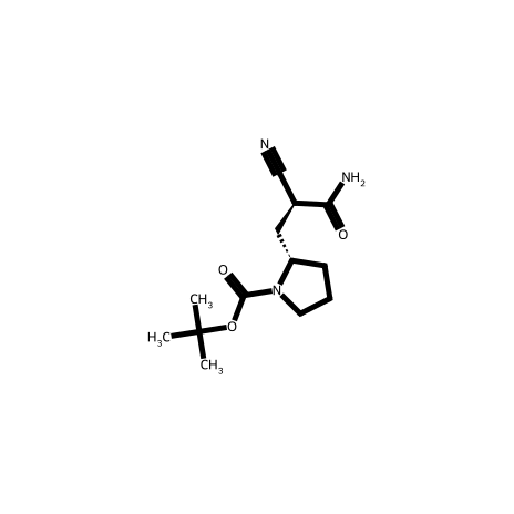 CC(C)(C)OC(=O)N1CCC[C@H]1C[C@@H](C#N)C(N)=O